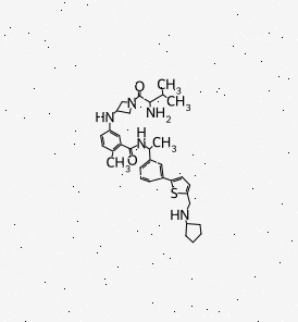 Cc1ccc(NC2CN(C(=O)C(N)C(C)C)C2)cc1C(=O)NC(C)c1cccc(-c2ccc(CNC3CCCC3)s2)c1